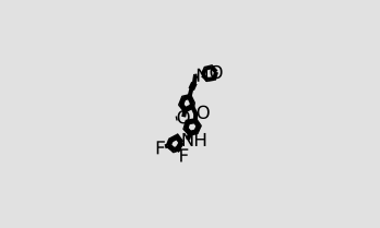 COc1ccc(C#CCN2CCOCC2)cc1C(=O)c1ccc(Nc2ccc(F)cc2F)cc1